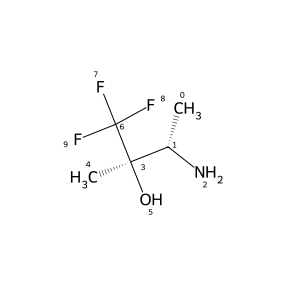 C[C@H](N)[C@@](C)(O)C(F)(F)F